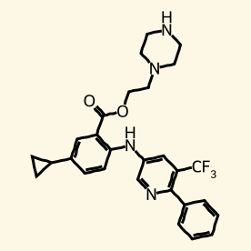 O=C(OCCN1CCNCC1)c1cc(C2CC2)ccc1Nc1cnc(-c2ccccc2)c(C(F)(F)F)c1